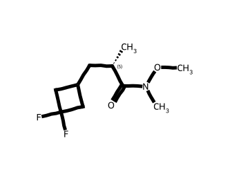 CON(C)C(=O)[C@@H](C)CC1CC(F)(F)C1